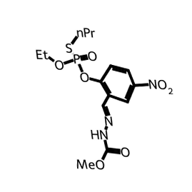 CCCSP(=O)(OCC)Oc1ccc([N+](=O)[O-])cc1C=NNC(=O)OC